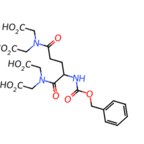 O=C(O)CN(CC(=O)O)C(=O)CCC(NC(=O)OCc1ccccc1)C(=O)N(CC(=O)O)CC(=O)O